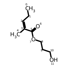 CCC=C(C)C(=O)OCCCO